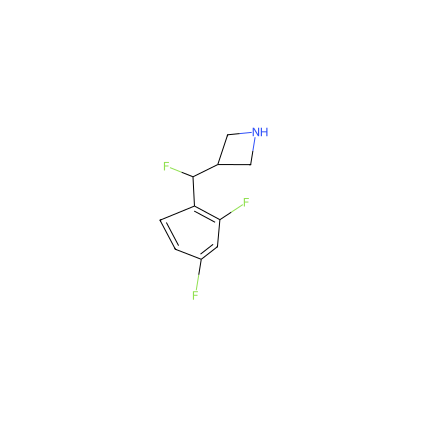 Fc1ccc(C(F)C2CNC2)c(F)c1